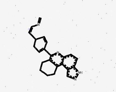 C=N/C=C\C1C=CC(c2nc3ccc4[nH]ncc4c3c3c2CCCC3)=CC1